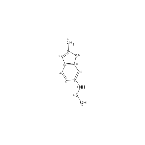 Cc1nc2ccc(NSO)cc2s1